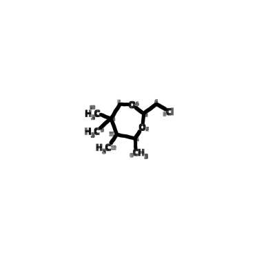 CC1OC(CCl)OCC(C)(C)C1C